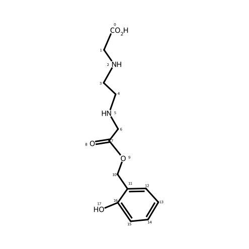 O=C(O)CNCCNCC(=O)OCc1ccccc1O